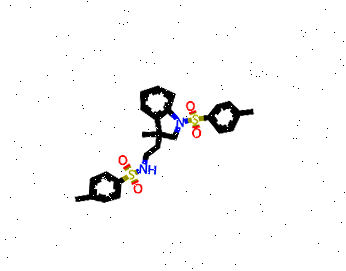 Cc1ccc(S(=O)(=O)NCCC2(C)CN(S(=O)(=O)c3ccc(C)cc3)c3ccccc32)cc1